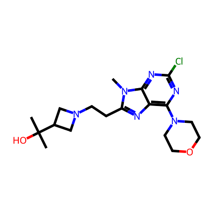 Cn1c(CCN2CC(C(C)(C)O)C2)nc2c(N3CCOCC3)nc(Cl)nc21